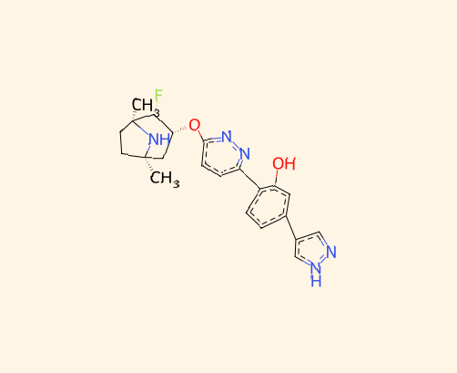 C[C@]12CC[C@](C)(N1)[C@H](F)[C@H](Oc1ccc(-c3ccc(-c4cn[nH]c4)cc3O)nn1)C2